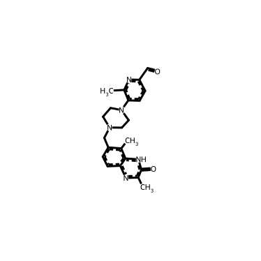 Cc1nc(C=O)ccc1N1CCN(Cc2ccc3nc(C)c(=O)[nH]c3c2C)CC1